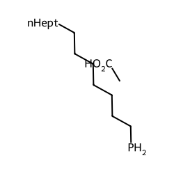 CC(=O)O.CCCCCCCCCCCCCCP